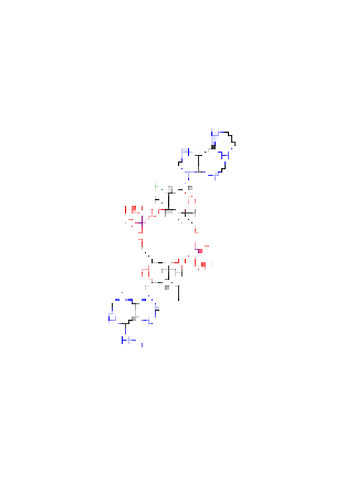 C=C[C@@H]1[C@@H]2OP(=O)(O)OC[C@H]3O[C@@H](n4cnc5c4ncn4ccnc54)[C@H](F)[C@@H]3OP(=O)(O)OCC2O[C@H]1n1cnc2c(N)ncnc21